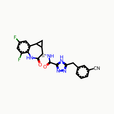 N#Cc1cccc(Cc2nnc(C(=O)N[C@@H]3C(=O)Nc4c(F)cc(F)cc4C4CC43)[nH]2)c1